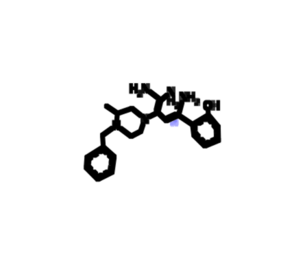 CC1CN(C(/C=C(\N)c2ccccc2O)=C(N)N)CCN1Cc1ccccc1